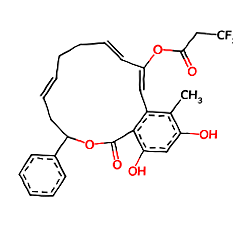 Cc1c(O)cc(O)c2c1/C=C(OC(=O)CC(F)(F)F)/C=C/CC/C=C/CC(c1ccccc1)OC2=O